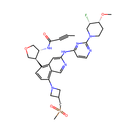 CC#CC(=O)N[C@H]1COC[C@@H]1c1ccc(N2CC(CS(C)(=O)=O)C2)c2cnc(Nc3ccnc(N4CC[C@@H](OC)[C@@H](F)C4)n3)cc12